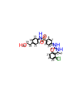 CC(NC(=O)Nc1ccc(S(=O)(=O)Nc2ccc(CCO)cc2)cc1)c1ccccc1Cl